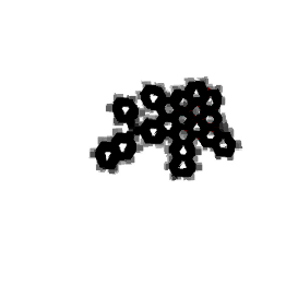 C1=CC2=CC=C(N(c3ccccc3)c3ccc4c(C5=C(c6ccc7ccccc7c6)C=CCC5)c5cc(N(c6ccccc6)c6ccc7ccccc7c6)ccc5c(-c5cc6ccccc6cc5-c5ccc6c(c5)CCC=C6)c4c3)C[C@H]2C=C1